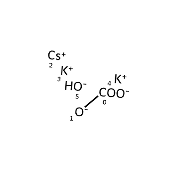 O=C([O-])[O-].[Cs+].[K+].[K+].[OH-]